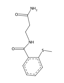 CSc1ccccc1C(=O)NCCC(N)=O